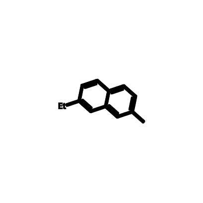 CCc1ccc2ccc(C)cc2c1